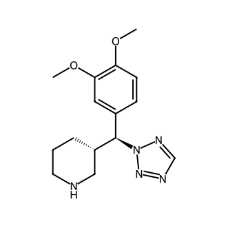 COc1ccc([C@H]([C@H]2CCCNC2)n2ncnn2)cc1OC